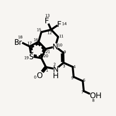 O=C1NC(CCCCO)=CN2CC(F)(F)Cc3c(Br)sc1c32